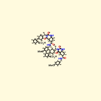 COc1ccc(CNC(=O)c2ccc3[nH]c(=O)n(C(C)c4ccc(-c5ccccc5C(=O)O)cc4)c(=O)c3c2)cc1.COc1ccc(CNC(=O)c2ccc3[nH]c(=O)n(C(C)c4ccc(-c5ccccc5C(=O)O)cc4)c(=O)c3c2)cc1